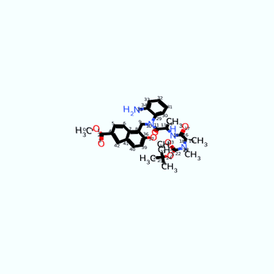 COC(=O)c1ccc2c(CN(C(=O)C(C)NC(=O)[C@H](C)N(C)C(=O)OC(C)(C)C)c3ccccc3N)c(OC)ccc2c1